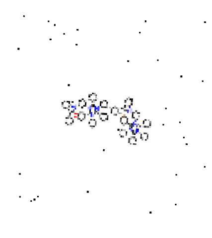 c1ccc(B2N(c3ccccc3)B(c3ccccc3)N(c3cccc(-n4c5ccccc5c5c6cc(-c7cccc(N8B(c9ccccc9)N(c9ccccc9)B(c9ccccc9)N(c9cccc(-n%10c%11ccccc%11c%11c%12ccccc%12oc%11%10)c9)B8c8ccccc8)c7)ccc6sc54)c3)B(c3ccccc3)N2c2ccccc2)cc1